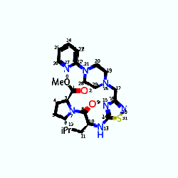 COC(=O)[C@@H]1CCCN1C(=O)[C@H](CC(C)C)Nc1nc(CN2CCN(c3ccccn3)CC2)ns1